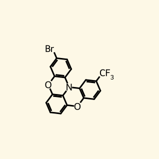 FC(F)(F)c1ccc2c(c1)N1c3ccc(Br)cc3Oc3cccc(c31)O2